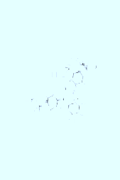 Cc1ccc(OC(C(=O)Oc2ccc(C(=O)O)cc2)c2ccc3c(c2)C(C)(C)CCC3(C)C)cc1